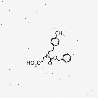 Cc1ccc(CCN(CCC(=O)O)C(=O)OCc2ccccc2)cc1